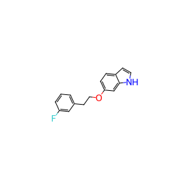 Fc1cccc(CCOc2ccc3cc[nH]c3c2)c1